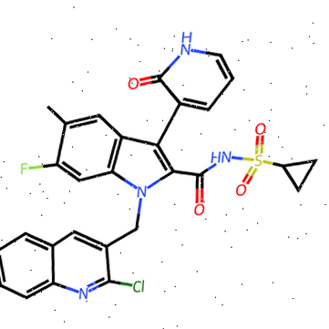 Cc1cc2c(-c3ccc[nH]c3=O)c(C(=O)NS(=O)(=O)C3CC3)n(Cc3cc4ccccc4nc3Cl)c2cc1F